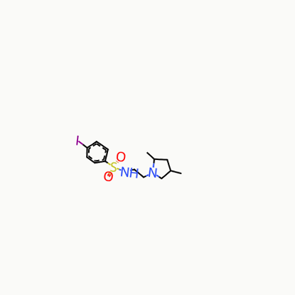 CC1CC(C)N(CCNS(=O)(=O)c2ccc(I)cc2)C1